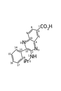 CC(C)Nc1nc2cc(C(=O)O)ccc2nc1-c1ccccc1